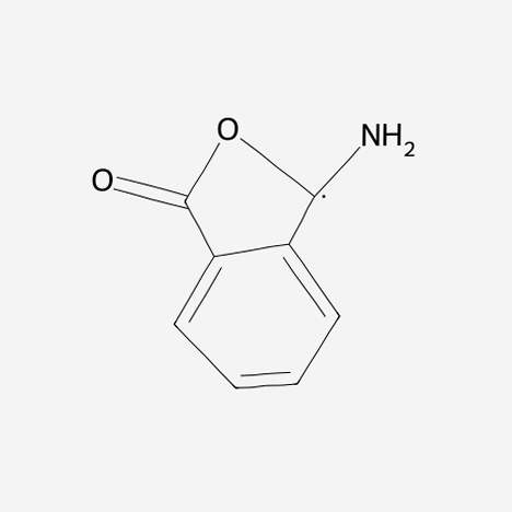 N[C]1OC(=O)c2ccccc21